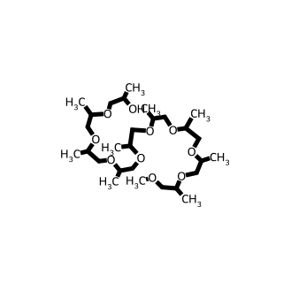 COCC(C)OCC(C)OCC(C)OCC(C)OCC(C)OCC(C)OCC(C)OCC(C)OCC(C)O